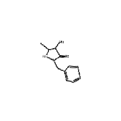 CC1NN(Cc2ccccc2)C(=O)C1O